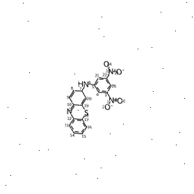 O=[N+]([O-])c1cc(NC2C=CC3=Nc4ccccc4SC3=C2)cc([N+](=O)[O-])c1